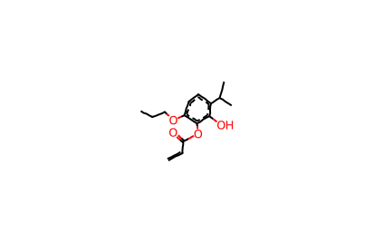 C=CC(=O)Oc1c(OCCC)ccc(C(C)C)c1O